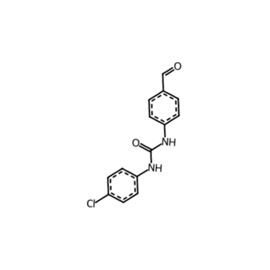 O=Cc1ccc(NC(=O)Nc2ccc(Cl)cc2)cc1